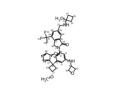 CO[C@H]1C[C@@](c2cc(NC3COC3)cc(N3Cc4c(cc(CNC5(C)CCC5)cc4C(F)(F)F)C3=O)c2)(c2nncn2C)C1